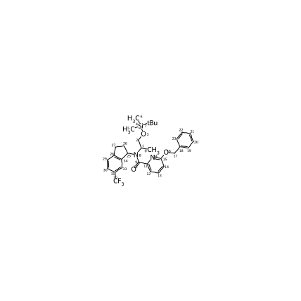 CC(CO[Si](C)(C)C(C)(C)C)N(C(=O)c1cccc(OCc2ccccc2)n1)C1CCc2ccc(C(F)(F)F)cc21